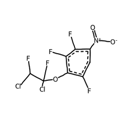 O=[N+]([O-])c1cc(F)c(OC(F)(Cl)C(F)Cl)c(F)c1F